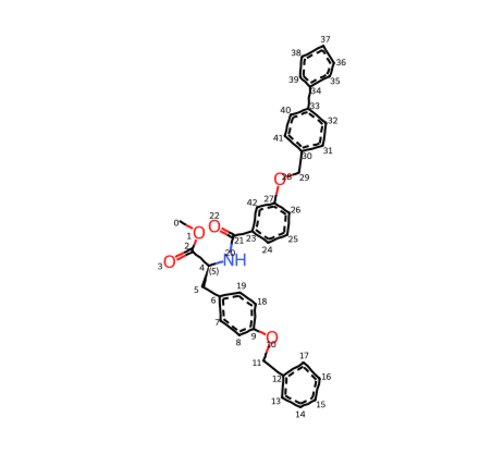 COC(=O)[C@H](Cc1ccc(OCc2ccccc2)cc1)NC(=O)c1cccc(OCc2ccc(-c3ccccc3)cc2)c1